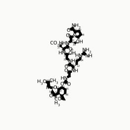 CO[C@@H]1[C@H](OC(=O)NCC(=O)N[C@@H](CCCNC(=N)N)C(=O)NCC(O)N[C@@H](CC(=O)O)C(=O)N[C@@H](CO)C(=O)N2CCCC2C(N)=O)CC[C@]2(CO2)[C@H]1[C@@]1(C)O[C@@H]1CC=C(C)C